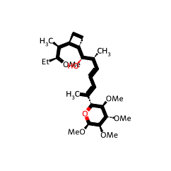 CC[C@H](OC)[C@@H](C)[C@H]1CC[C@@H]1[C@@H](O)[C@H](C)/C=C/C=C(\C)[C@H]1O[C@H](OC)[C@H](OC)[C@@H](OC)[C@@H]1OC